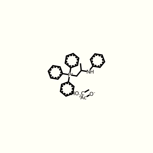 CC(=O)O.CC(=O)[O-].CC(C[P+](c1ccccc1)(c1ccccc1)c1ccccc1)Nc1ccccc1